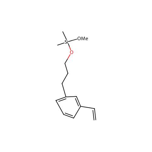 C=Cc1cccc(CCCO[Si](C)(C)OC)c1